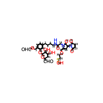 O=COCc1ccc(CCCCNC(=O)CN2C(=O)[C@@H](N3C(=O)C=CC3=O)C[C@H]2COCCSO)cc1OC1OC(C=O)CC(O)[C@H]1O